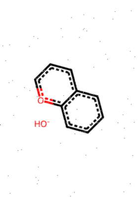 [OH-].c1ccc2[o+]cccc2c1